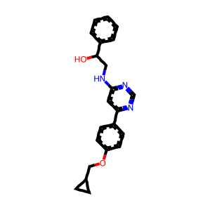 OC(CNc1cc(-c2ccc(OCC3CC3)cc2)ncn1)c1ccccc1